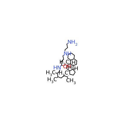 CC(CCC(C)[C@H]1CC[C@H]2[C@@H]3CCC4CCCC[C@]4(C)[C@H]3CC[C@]12C)C(C)CNC(O)CCCNCCCN